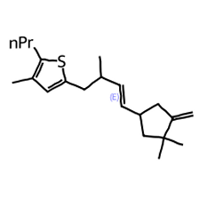 C=C1CC(/C=C/C(C)Cc2cc(C)c(CCC)s2)CC1(C)C